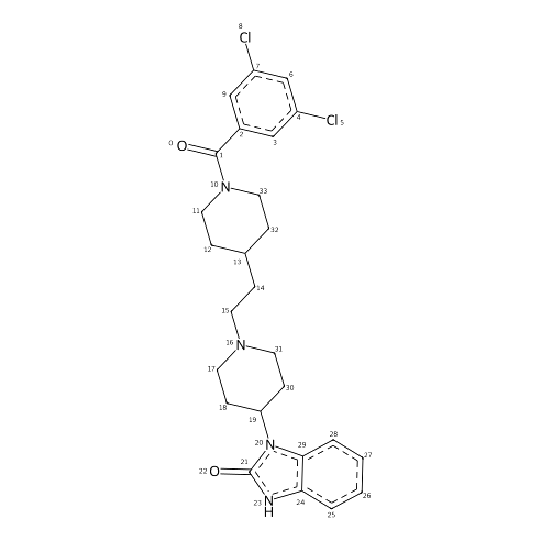 O=C(c1cc(Cl)cc(Cl)c1)N1CCC(CCN2CCC(n3c(=O)[nH]c4ccccc43)CC2)CC1